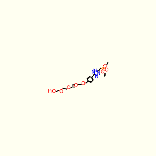 CCOP(=O)(Cc1nnc(-c2ccc(COCCOCCOCCOCCO)cc2)nn1)OCC